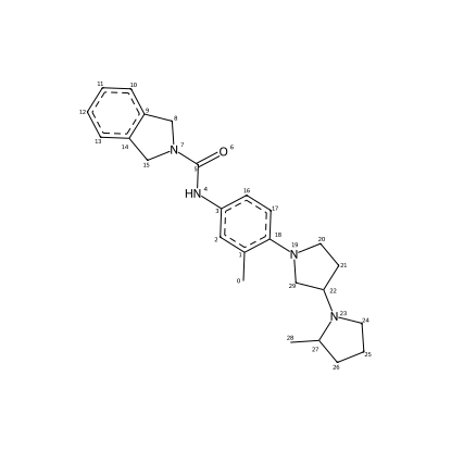 Cc1cc(NC(=O)N2Cc3ccccc3C2)ccc1N1CCC(N2CCCC2C)C1